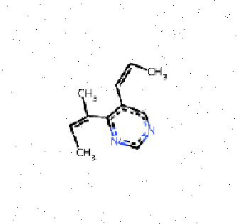 C/C=C\c1cncnc1/C(C)=C\C